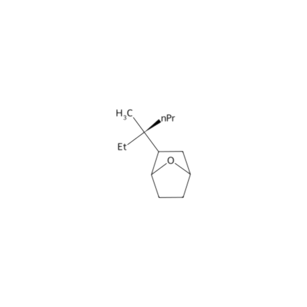 CCC[C@](C)(CC)C1CC2CCC1O2